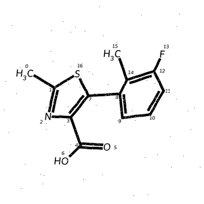 Cc1nc(C(=O)O)c(-c2cccc(F)c2C)s1